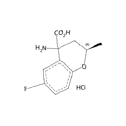 C[C@@H]1CC(N)(C(=O)O)c2cc(F)ccc2O1.Cl